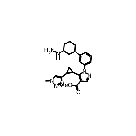 COC(=O)c1cnn(-c2cccc([C@@H]3CCC[C@H](NN)C3)c2)c1C1CC1c1cn(C)nn1